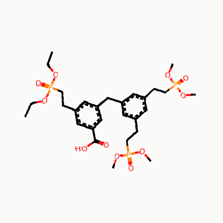 CCOP(=O)(CCc1cc(Cc2cc(CCP(=O)(OC)OC)cc(CCP(=O)(OC)OC)c2)cc(C(=O)O)c1)OCC